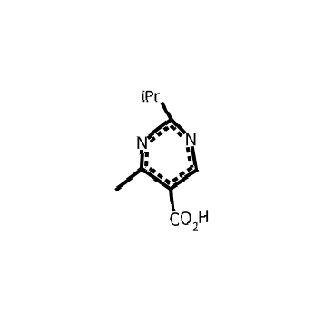 Cc1nc(C(C)C)ncc1C(=O)O